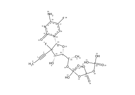 CC#CC1(F)[C@@H](O)[C@@H]([C@H](C)OP(=O)(O)OP(=O)(O)OP(=O)(O)O)O[C@H]1n1cc(F)c(N)nc1=O